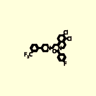 O=C(c1ccc(F)cc1)N1CCC2=C(Cl)C(Cl)CCC2=C1CCN1CCC(c2cccc(C(F)(F)F)c2)CC1